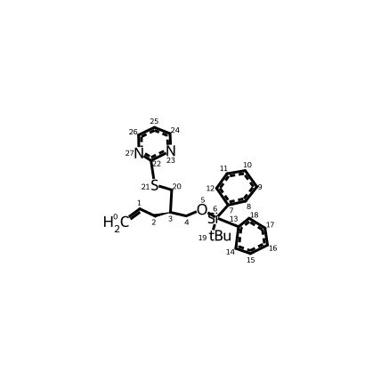 C=CC[C@H](CO[Si](c1ccccc1)(c1ccccc1)C(C)(C)C)CSc1ncccn1